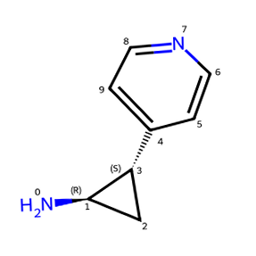 N[C@@H]1C[C@H]1c1ccncc1